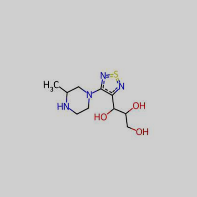 CC1CN(c2nsnc2C(O)C(O)CO)CCN1